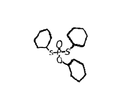 O=P(OC1CCCCC1)(SC1CCCCC1)SC1CCCCC1